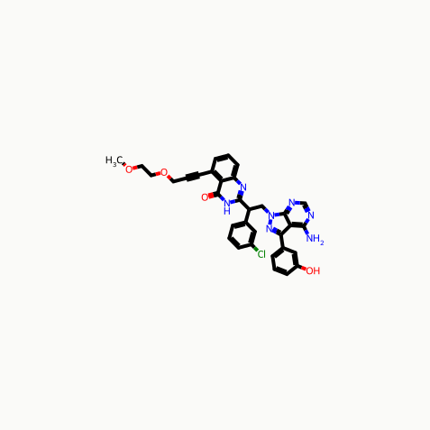 COCCOCC#Cc1cccc2nc(C(Cn3nc(-c4cccc(O)c4)c4c(N)ncnc43)c3cccc(Cl)c3)[nH]c(=O)c12